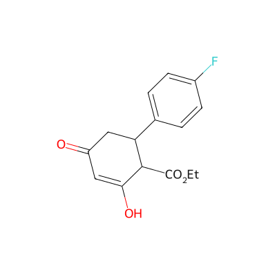 CCOC(=O)C1C(O)=CC(=O)CC1c1ccc(F)cc1